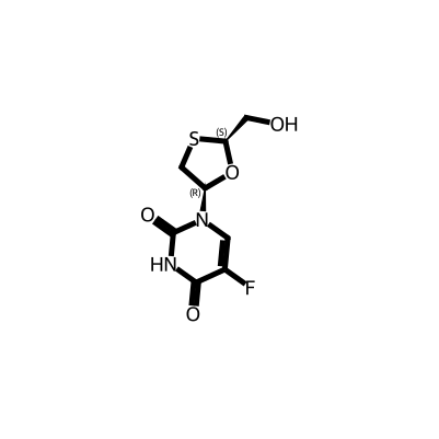 O=c1[nH]c(=O)n([C@H]2CS[C@@H](CO)O2)cc1F